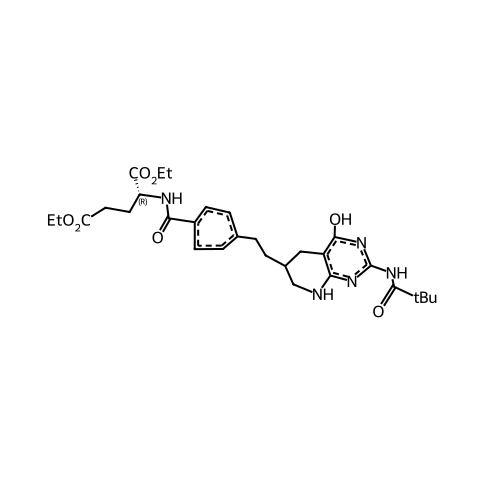 CCOC(=O)CC[C@@H](NC(=O)c1ccc(CCC2CNc3nc(NC(=O)C(C)(C)C)nc(O)c3C2)cc1)C(=O)OCC